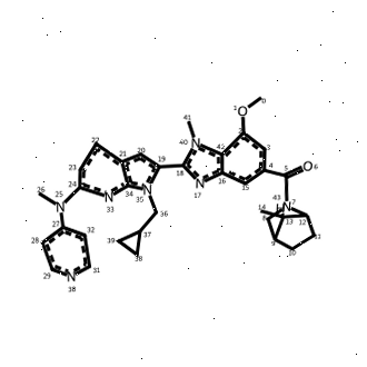 COc1cc(C(=O)N2CC3CCC2[C@@H]3C)cc2nc(-c3cc4ccc(N(C)c5ccncc5)nc4n3CC3CC3)n(C)c12